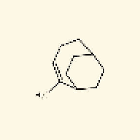 C/C1=C/CCC2CCC1CC2